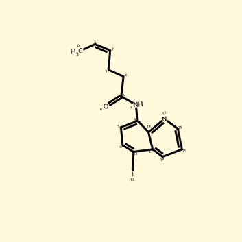 C/C=C\CCC(=O)Nc1ccc(I)c2cccnc12